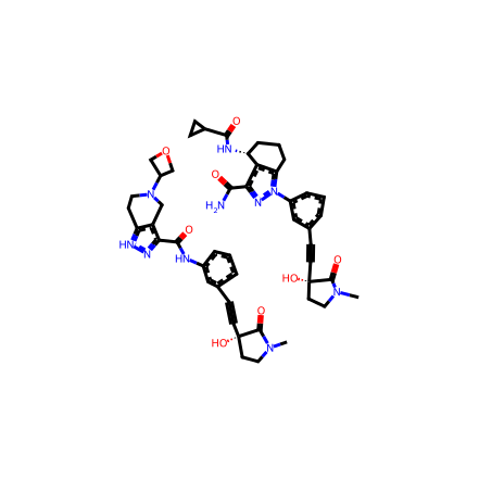 CN1CC[C@@](O)(C#Cc2cccc(-n3nc(C(N)=O)c4c3CCC[C@H]4NC(=O)C3CC3)c2)C1=O.CN1CC[C@@](O)(C#Cc2cccc(NC(=O)c3n[nH]c4c3CN(C3COC3)CC4)c2)C1=O